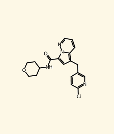 O=C(NC1CCOCC1)c1cc(Cc2ccc(Cl)nc2)c2cccnn12